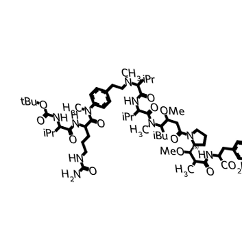 CCC(C)C(C(CC(=O)N1CCC[C@H]1C(OC)C(C)C(=O)NC(Cc1ccccc1)C(=O)O)OC)N(C)C(=O)C(NC(=O)C(C(C)C)N(C)CCc1ccc(N(C)C(=O)C(CCCNC(N)=O)NC(=O)C(NC(=O)OC(C)(C)C)C(C)C)cc1)C(C)C